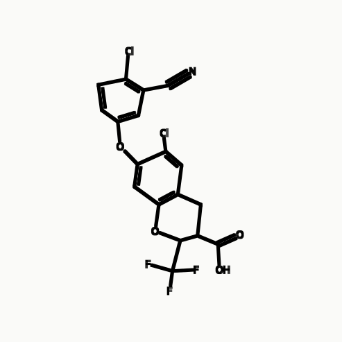 N#Cc1cc(Oc2cc3c(cc2Cl)CC(C(=O)O)C(C(F)(F)F)O3)ccc1Cl